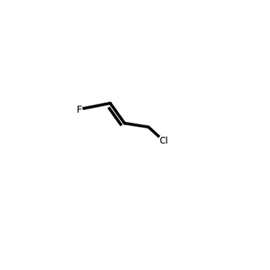 F/C=C/CCl